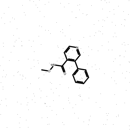 CONC(=O)c1ccn[c]c1-c1ccccc1